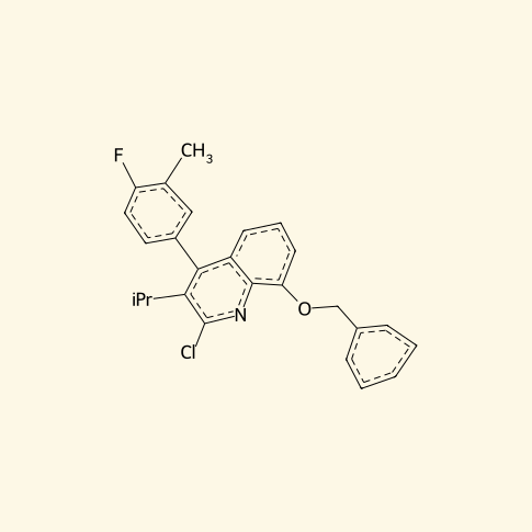 Cc1cc(-c2c(C(C)C)c(Cl)nc3c(OCc4ccccc4)cccc23)ccc1F